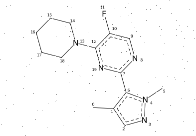 Cc1cnn(C)c1-c1ncc(F)c(N2CCCCC2)n1